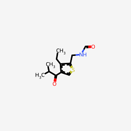 CCc1c(C(=O)C(C)C)csc1CNC=O